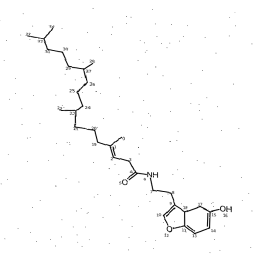 C/C(=C\CC(=O)NCCC1=COC2=CC=C(O)CC12)CCCC(C)CCCC(C)CCCC(C)C